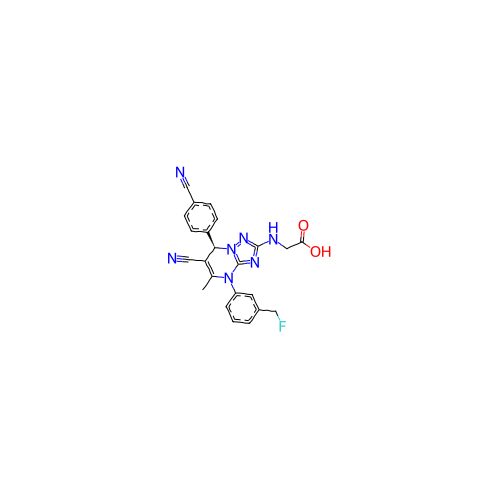 CC1=C(C#N)[C@@H](c2ccc(C#N)cc2)n2nc(NCC(=O)O)nc2N1c1cccc(CF)c1